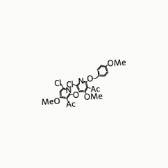 COc1ccc(COc2nc(Cl)c(Oc3nc(Cl)cc(OC)c3C(C)=O)c(OC)c2C(C)=O)cc1